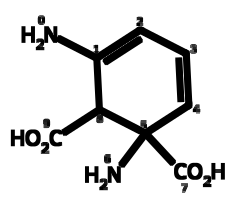 NC1=CC=CC(N)(C(=O)O)C1C(=O)O